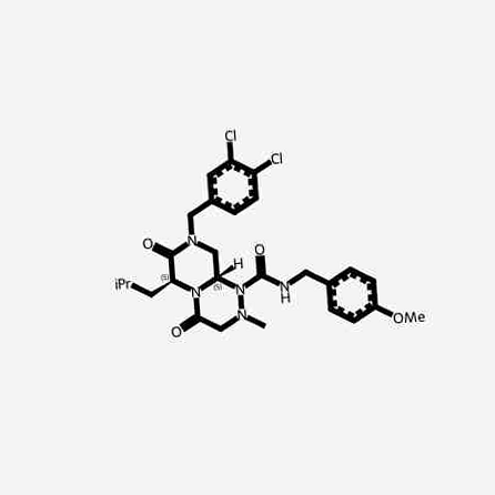 COc1ccc(CNC(=O)N2[C@H]3CN(Cc4ccc(Cl)c(Cl)c4)C(=O)[C@H](CC(C)C)N3C(=O)CN2C)cc1